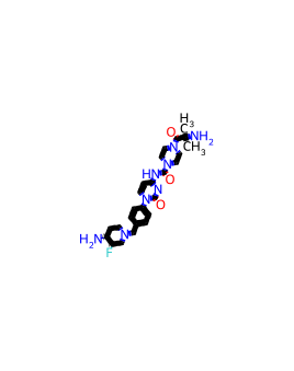 CC(C)(N)C(=O)N1CCN(C(=O)Nc2ccn(-c3ccc(CN4CC[C@@H](N)[C@@H](F)C4)cc3)c(=O)n2)CC1